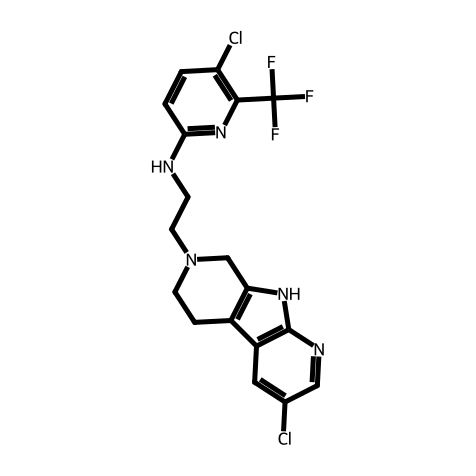 FC(F)(F)c1nc(NCCN2CCc3c([nH]c4ncc(Cl)cc34)C2)ccc1Cl